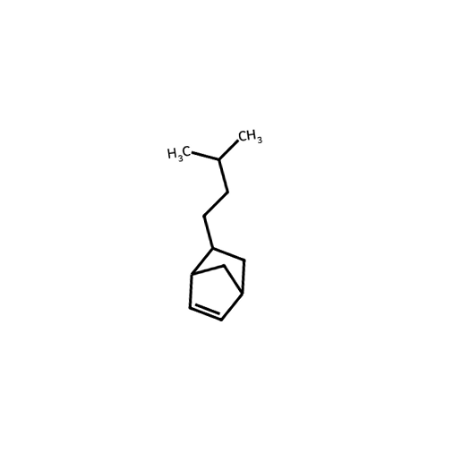 CC(C)CCC1CC2C=CC1C2